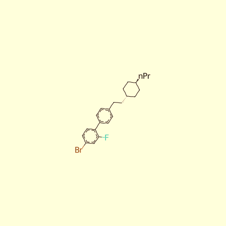 CCC[C@H]1CC[C@H](CCc2ccc(-c3ccc(Br)cc3F)cc2)CC1